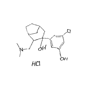 CN(C)CC1C2CCC(C2)CC1(O)c1cc(O)cc(Cl)c1.Cl